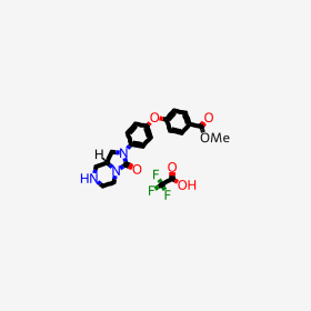 COC(=O)c1ccc(Oc2ccc(N3C[C@@H]4CNCCN4C3=O)cc2)cc1.O=C(O)C(F)(F)F